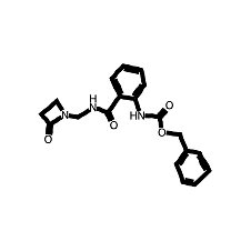 O=C(Nc1ccccc1C(=O)NCN1CCC1=O)OCc1ccccc1